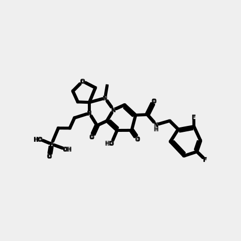 CN1n2cc(C(=O)NCc3ccc(F)cc3F)c(=O)c(O)c2C(=O)N(CCCP(=O)(O)O)C12CCOC2